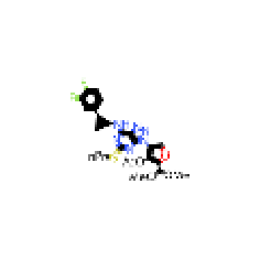 CCCSc1nc(N[C@@H]2C[C@H]2c2ccc(F)c(F)c2)c2nnn([C@H]3CO[C@@H](C(OC)OC)[C@@H]3OC(C)=O)c2n1